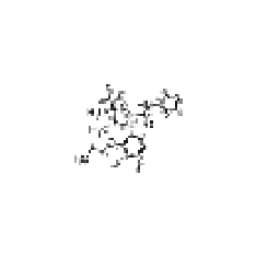 C[C@H]1[C@@H](c2ccc(F)c(F)c2OCCO)[C@H](C(=O)Nc2cncs2)O[C@@]1(C)C(F)(F)F